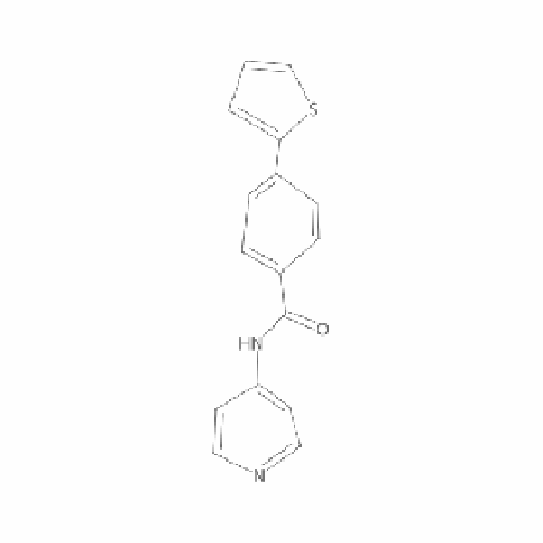 O=C(Nc1ccncc1)c1ccc(-c2cccs2)cc1